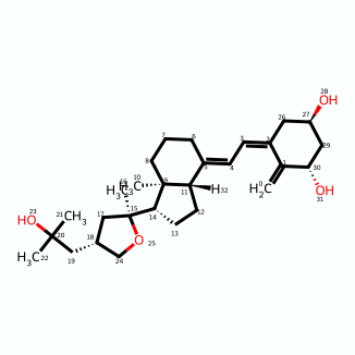 C=C1C(=CC=C2CCC[C@@]3(C)[C@H]2CC[C@@H]3[C@]2(C)C[C@@H](CC(C)(C)O)CO2)C[C@@H](O)C[C@@H]1O